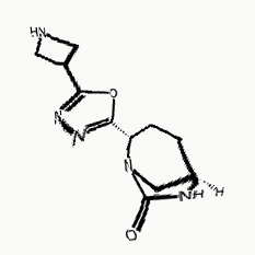 O=C1N[C@@H]2CC[C@@H](c3nnc(C4CNC4)o3)N1C2